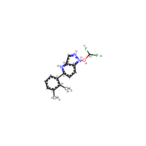 Cc1cccc(-c2ccc3c(cnn3OC(F)F)n2)c1C